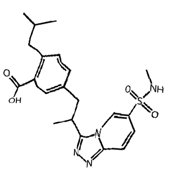 CNS(=O)(=O)c1ccc2nnc(C(C)Cc3ccc(CC(C)C)c(C(=O)O)c3)n2c1